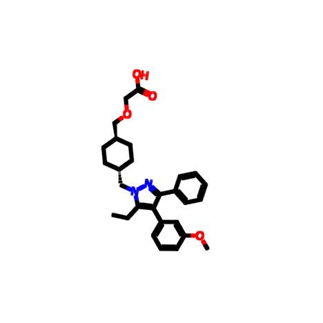 CCc1c(-c2cccc(OC)c2)c(-c2ccccc2)nn1C[C@H]1CC[C@H](COCC(=O)O)CC1